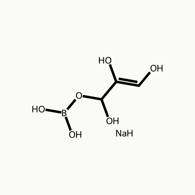 OC=C(O)C(O)OB(O)O.[NaH]